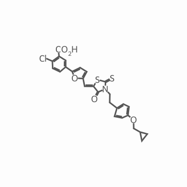 O=C(O)c1cc(-c2ccc(/C=C3\SC(=S)N(CCc4ccc(OCC5CC5)cc4)C3=O)o2)ccc1Cl